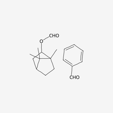 CC1(C)C2CCC1(C)C(OC=O)C2.O=Cc1ccccc1